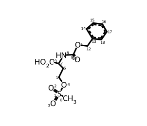 CS(=O)(=O)OCCC(NC(=O)OCc1ccccc1)C(=O)O